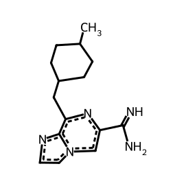 CC1CCC(Cc2nc(C(=N)N)cn3ccnc23)CC1